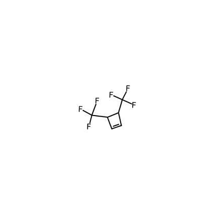 FC(F)(F)C1C=CC1C(F)(F)F